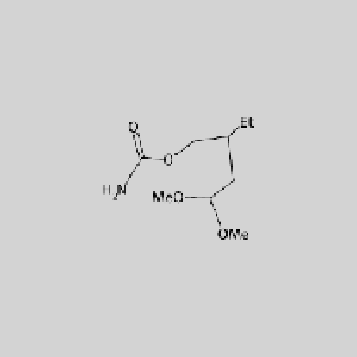 CCC(COC(N)=O)CC(OC)OC